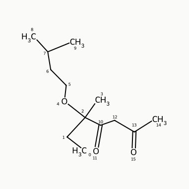 CCC(C)(OCCC(C)C)C(=O)CC(C)=O